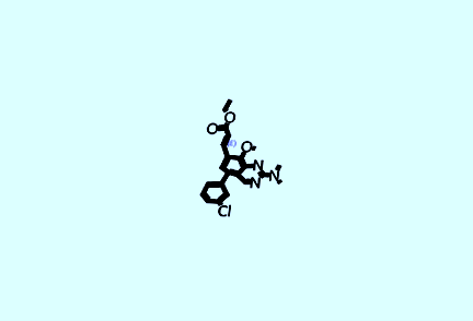 CCOC(=O)/C=C/c1cc(-c2cccc(Cl)c2)c2cnc(N(C)C)nc2c1OC